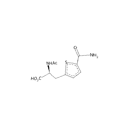 CC(=O)N[C@@H](Cc1ccc(C(N)=O)s1)C(=O)O